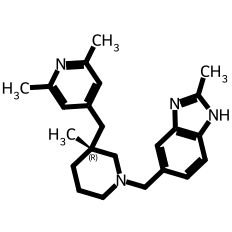 Cc1cc(C[C@@]2(C)CCCN(Cc3ccc4[nH]c(C)nc4c3)C2)cc(C)n1